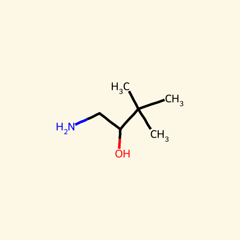 CC(C)(C)C(O)CN